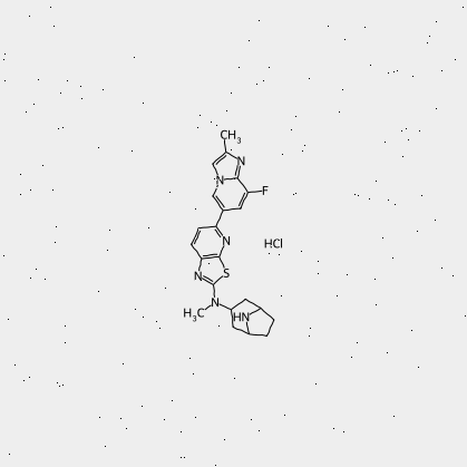 Cc1cn2cc(-c3ccc4nc(N(C)C5CC6CCC(C5)N6)sc4n3)cc(F)c2n1.Cl